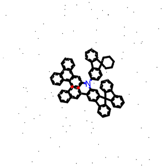 c1ccc2c(c1)-c1cc(N(c3ccc4c5ccccc5c5ccccc5c4c3)c3cc4c(cc3-c3ccc5ccccc5c3)-c3ccccc3C43c4ccccc4-c4ccccc43)ccc1C21CCCCC1